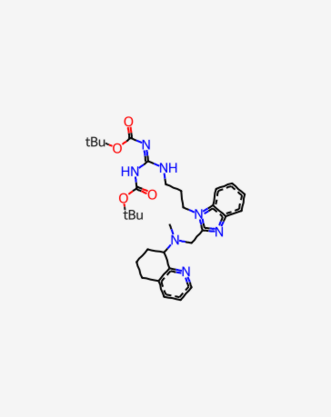 CN(Cc1nc2ccccc2n1CCCNC(=NC(=O)OC(C)(C)C)NC(=O)OC(C)(C)C)C1CCCc2cccnc21